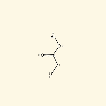 [Li][CH2]C(=O)OC(C)=O